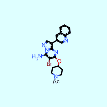 CC(=O)N1CCC(Oc2nc3c(-c4cnc5ccccc5c4)cnn3c(N)c2Br)CC1